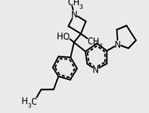 CCCc1ccc(C(O)(c2cncc(N3CCCC3)c2)C2(C)CN(C)C2)cc1